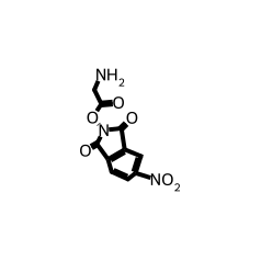 NCC(=O)ON1C(=O)c2ccc([N+](=O)[O-])cc2C1=O